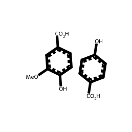 COc1cc(C(=O)O)ccc1O.O=C(O)c1ccc(O)cc1